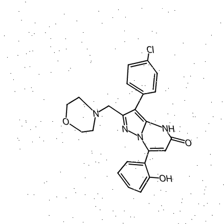 O=c1cc(-c2ccccc2O)n2nc(CN3CCOCC3)c(-c3ccc(Cl)cc3)c2[nH]1